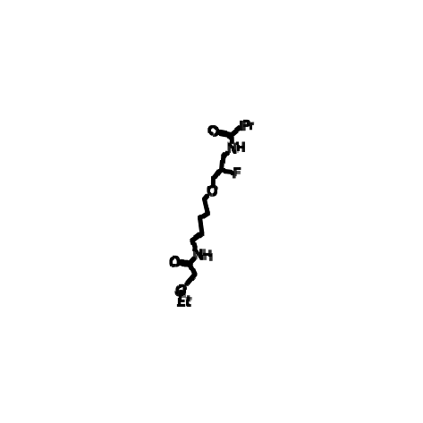 CCOCC(=O)NCCCCCOCC(F)CNC(=O)C(C)C